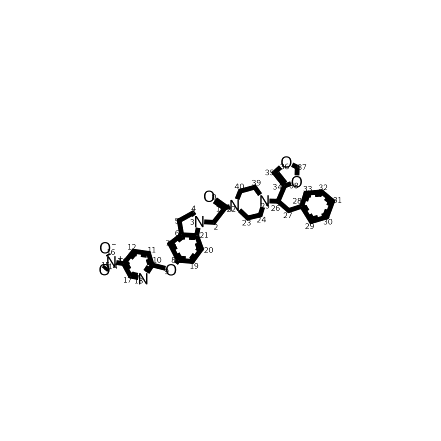 O=C(CN1CCc2cc(Oc3ccc([N+](=O)[O-])cn3)ccc21)N1CCN(C(Cc2ccccc2)C2=COCO2)CC1